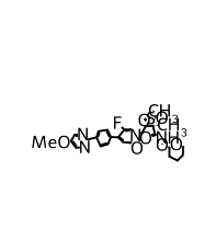 COc1cnc(-c2ccc(-c3cc(=O)n(CC[C@](C)(C(=O)NOC4CCCCO4)S(C)(=O)=O)cc3F)cc2)nc1